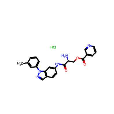 Cc1cccc(-n2ncc3ccc(NC(=O)[C@@H](N)COC(=O)c4cccnc4)cc32)c1.Cl